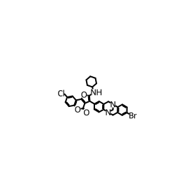 O=c1oc2ccc(Cl)cc2c2oc(NC3CCCCC3)c(-c3ccc4c(c3)CN3CN4Cc4cc(Br)ccc43)c12